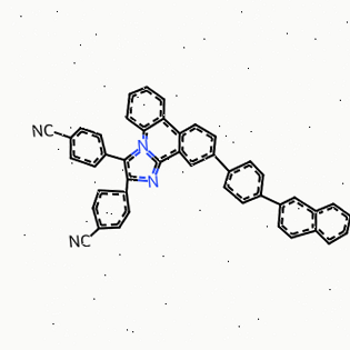 N#Cc1ccc(-c2nc3c4cc(-c5ccc(-c6ccc7ccccc7c6)cc5)ccc4c4ccccc4n3c2-c2ccc(C#N)cc2)cc1